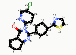 O=c1c2ccccc2nc(-c2ccc(-c3nccs3)cc2)n1-c1ccc(Cl)cn1